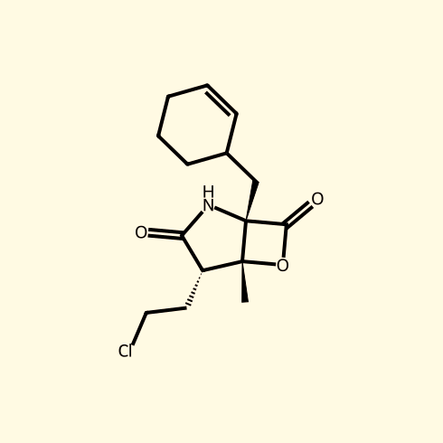 C[C@]12OC(=O)[C@@]1(CC1C=CCCC1)NC(=O)[C@H]2CCCl